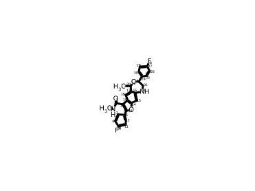 CNC(=O)c1c(-c2ccc(F)cc2)oc2cc3c(cc12)C(C)OC(c1ccc(F)cc1)CN3